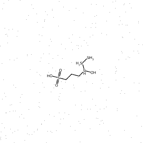 O=S(=O)(O)CCC[SiH](O)[SiH2][SiH3]